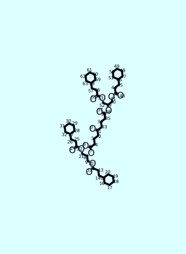 O=C(CCCC(=O)OC(COC(=O)CCC1CCCCC1)COC(=O)CCC1CCCCC1)CCCC(=O)OC(COC(=O)CCC1CCCCC1)COC(=O)CCC1CCCCC1